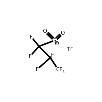 O=S(=O)([O-])C(F)(F)C(F)(F)C(F)(F)F.[Tl+]